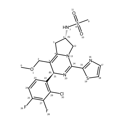 COCC1=C2C[C@H](NS(C)(=O)=O)CN2C(c2nccs2)=N[C@H]1c1ccc(F)c(F)c1Cl